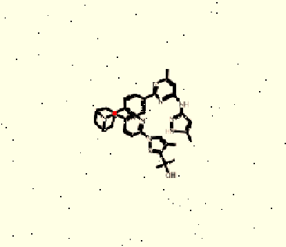 Cc1cc(Nc2cc(C)[nH]n2)nc(-c2ccc(N3CC4CC(C3)N4Cc3ccc(-n4cc(F)c(C(C)(C)O)n4)nc3)nc2)n1